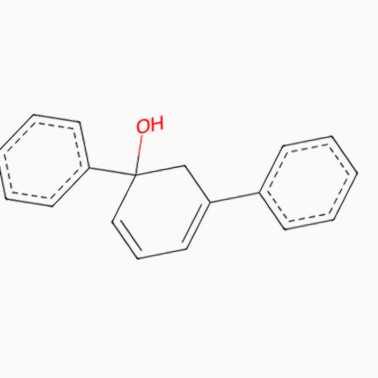 OC1(c2ccccc2)C=CC=C(c2ccccc2)C1